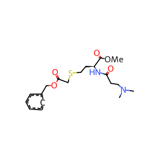 COC(=O)[C@H](CCSCC(=O)OCc1ccccc1)NC(=O)CCN(C)C